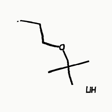 [CH2]CCOC(C)(C)C.[LiH]